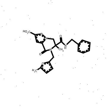 Cc1ccc(CN2C(=O)c3cc(C(=O)O)nn3CC2(C)C(=O)NCc2ccccc2)o1